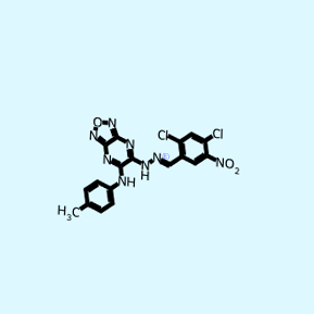 Cc1ccc(Nc2nc3nonc3nc2N/N=C/c2cc([N+](=O)[O-])c(Cl)cc2Cl)cc1